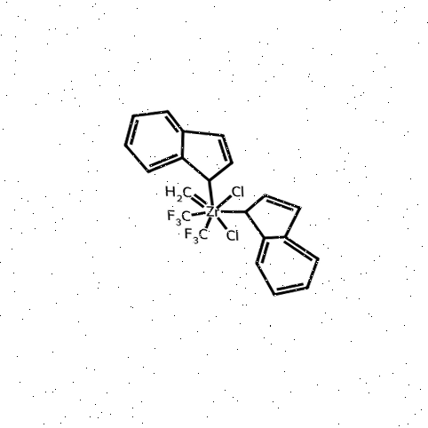 [CH2]=[Zr]([Cl])([Cl])([CH]1C=Cc2ccccc21)([CH]1C=Cc2ccccc21)([C](F)(F)F)[C](F)(F)F